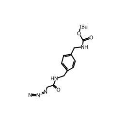 CC(C)(C)OC(=O)NCc1ccc(CNC(=O)CN=[N+]=[N-])cc1